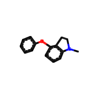 CN1CCc2c(Oc3ccccc3)cccc21